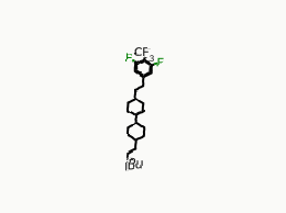 CCC(C)CCC1CCC(C2CCC(CCc3cc(F)c(C(F)(F)F)c(F)c3)CC2)CC1